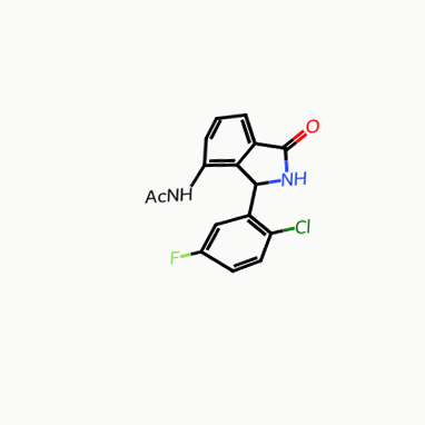 CC(=O)Nc1cccc2c1C(c1cc(F)ccc1Cl)NC2=O